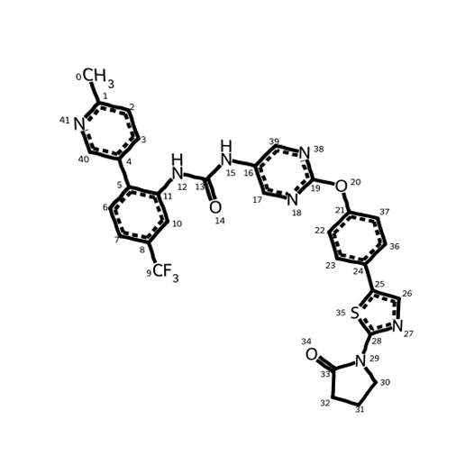 Cc1ccc(-c2ccc(C(F)(F)F)cc2NC(=O)Nc2cnc(Oc3ccc(-c4cnc(N5CCCC5=O)s4)cc3)nc2)cn1